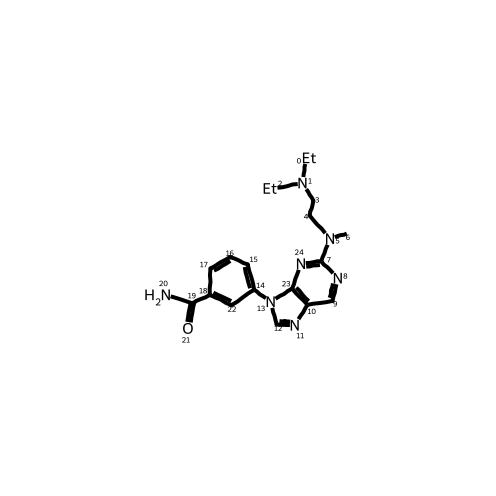 CCN(CC)CCN(C)c1ncc2ncn(-c3cccc(C(N)=O)c3)c2n1